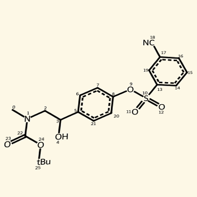 CN(CC(O)c1ccc(OS(=O)(=O)c2cccc(C#N)c2)cc1)C(=O)OC(C)(C)C